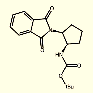 CC(C)(C)OC(=O)N[C@@H]1CCC[C@@H]1N1C(=O)c2ccccc2C1=O